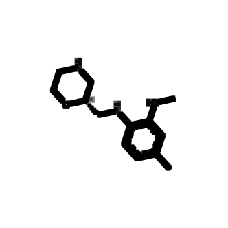 CNc1cc(C)ccc1NC[C@H]1CNCCO1